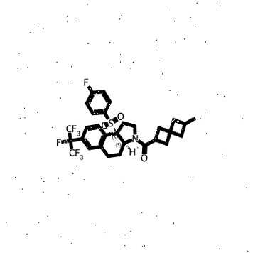 CC1CC2(C1)CC(C(=O)N1CC[C@]3(S(=O)(=O)c4ccc(F)cc4)c4ccc(C(F)(C(F)(F)F)C(F)(F)F)cc4CC[C@H]13)C2